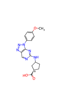 COc1ccc(-n2nnc3cnc(NC4CC[C@@H](C(=O)O)C4)nc32)cc1